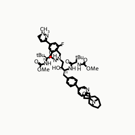 COC(=O)NC(C(=O)N[C@@H](Cc1ccc(-c2ccc(N3CC4CCC(C3)N4C3COC3)nc2)cc1)[C@@H](O)CN(Cc1c(F)cc(-c2ccn(C)n2)cc1F)NC(=O)[C@@H](NC(=O)OC)C(C)(C)C)C(C)(C)C